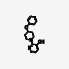 Oc1cccnc1N1CCC(Oc2ccccc2)CC1